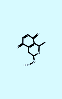 CC1OC(OC=O)CC2=C1C(=O)C=CC2=O